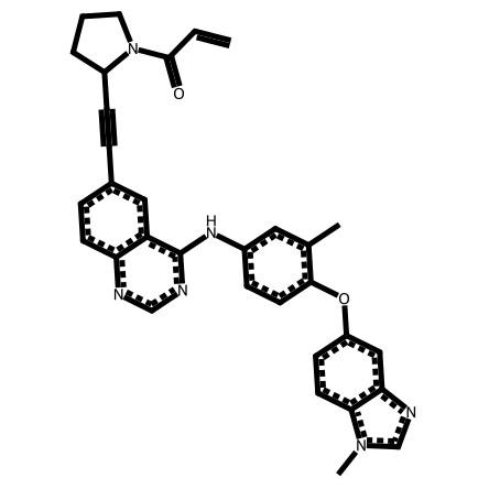 C=CC(=O)N1CCCC1C#Cc1ccc2ncnc(Nc3ccc(Oc4ccc5c(c4)ncn5C)c(C)c3)c2c1